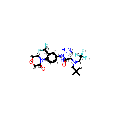 CC(C)(C)CN(CC(F)(F)F)[C@@H](CN)C(=O)Nc1ccc(N2CCOCC2=O)c(C(F)F)c1